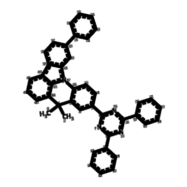 CC1(C)c2cc(-c3nc(-c4ccccc4)nc(-c4ccccc4)n3)ccc2-n2c3cc(-c4ccccc4)ccc3c3cccc1c32